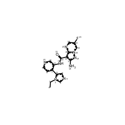 CCn1cncc1-c1ccncc1NC(=O)c1c(N)nn2cc(F)cnc12